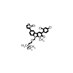 CCn1nccc1-c1ccc2c(c1)c1cc(-c3ccc(Cl)cc3Cl)c(=O)n(C)c1n2COCC[Si](C)(C)C